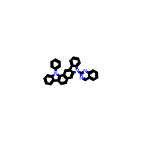 c1ccc(-n2c3ccccc3c3ccc4cc5c(cc4c32)c2ccccc2n5-c2ncc3ccccc3n2)cc1